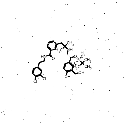 CC(C)(Cc1cccc(C(=O)NCCc2ccc(Cl)c(Cl)c2)c1)NC[C@H](O[Si](C)(C)C(C)(C)C)c1ccc(O)c(CO)c1